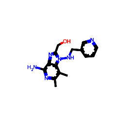 Cc1nc(N)c2nc(CO)n(NCc3cccnc3)c2c1C